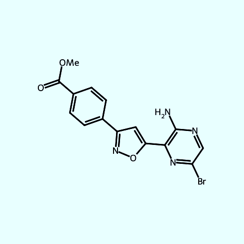 COC(=O)c1ccc(-c2cc(-c3nc(Br)cnc3N)on2)cc1